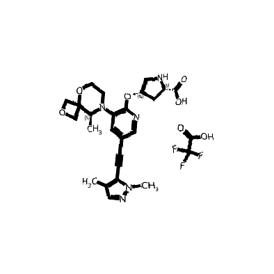 Cc1cnn(C)c1C#Cc1cnc(O[C@@H]2CN[C@H](C(=O)O)C2)c(N2CCOC3(COC3)[C@@H]2C)c1.O=C(O)C(F)(F)F